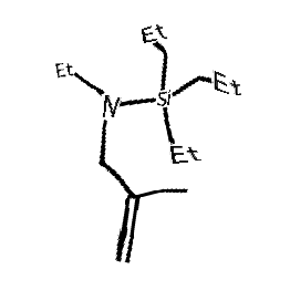 C=C(C)CN(CC)[Si](CC)(CC)CC